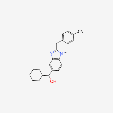 Cn1c(Cc2ccc(C#N)cc2)nc2cc(C(O)C3CCCCC3)ccc21